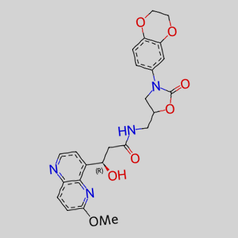 COc1ccc2nccc([C@H](O)CC(=O)NCC3CN(c4ccc5c(c4)OCCO5)C(=O)O3)c2n1